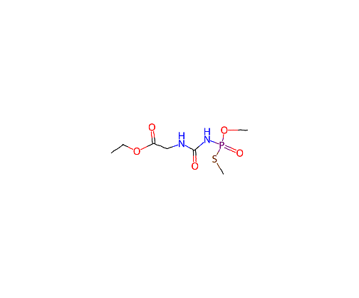 CCOC(=O)CNC(=O)NP(=O)(OC)SC